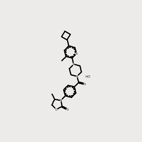 Cc1cc(C2CCC2)cnc1N1CCN(C(=O)c2ccc(N3C(=O)OCC3C)cc2)CC1.Cl